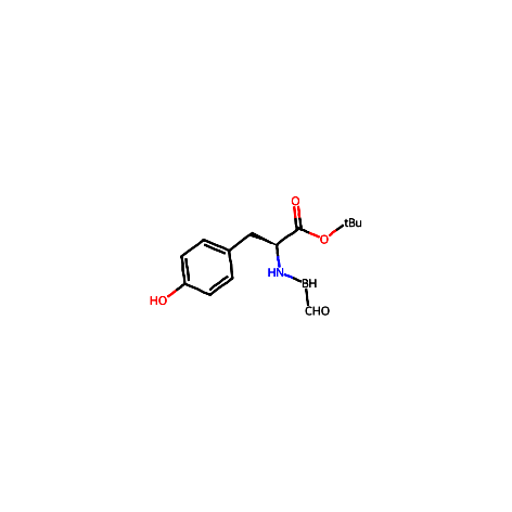 CC(C)(C)OC(=O)[C@H](Cc1ccc(O)cc1)NBC=O